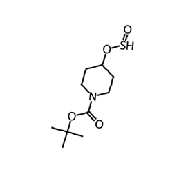 CC(C)(C)OC(=O)N1CCC(O[SH]=O)CC1